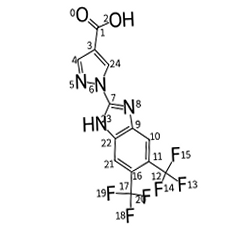 O=C(O)c1cnn(-c2nc3cc(C(F)(F)F)c(C(F)(F)F)cc3[nH]2)c1